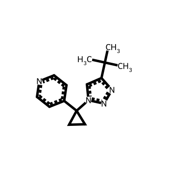 CC(C)(C)c1cn(C2(c3ccncc3)CC2)nn1